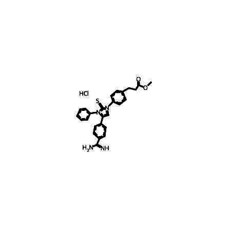 COC(=O)CCc1ccc(-n2cc(-c3ccc(C(=N)N)cc3)n(-c3ccccc3)c2=S)cc1.Cl